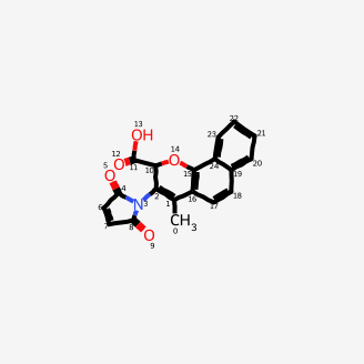 CC1=C(N2C(=O)C=CC2=O)C(C(=O)O)Oc2c1ccc1ccccc21